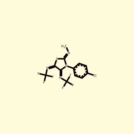 CN=C1S/C(=N/C(F)(F)F)C(=NC(F)(F)F)N1c1ccc(Cl)cc1